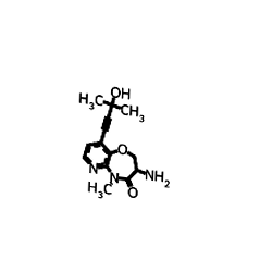 CN1C(=O)C(N)COc2c(C#CC(C)(C)O)ccnc21